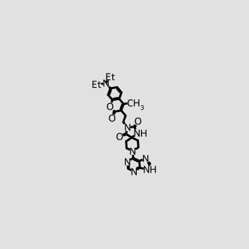 CCN(CC)c1ccc2c(C)c(CCN3C(=O)NC4(CCN(c5ncnc6[nH]cnc56)CC4)C3=O)c(=O)oc2c1